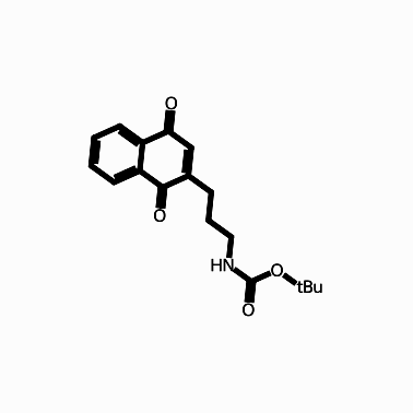 CC(C)(C)OC(=O)NCCCC1=CC(=O)c2ccccc2C1=O